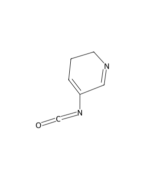 O=C=NC1=CCCN=C1